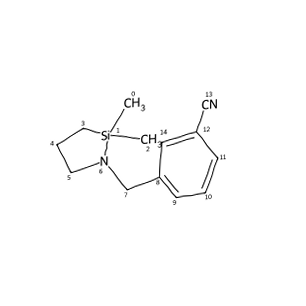 C[Si]1(C)CCCN1Cc1cccc(C#N)c1